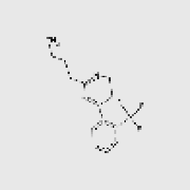 CCCCC1=NCCC(c2ccccc2C(F)(F)F)=C1